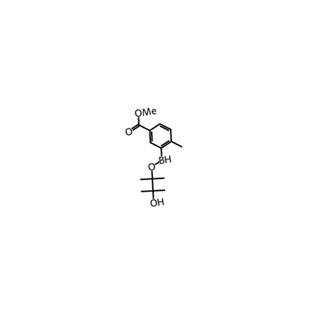 COC(=O)c1ccc(C)c(BOC(C)(C)C(C)(C)O)c1